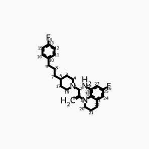 C=C(CN1CCC(CCCc2ccc(F)cc2)CC1)N1CCCc2cc(F)cc(N)c21